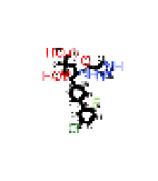 CC(CC(Cc1ccc(-c2cc(Cl)ccc2F)cc1)NC(=O)c1c[nH]nn1)(C(=O)O)C(=O)O